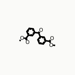 COC(=O)c1cccc(C(=O)c2cccc(C(=O)OC)c2)c1